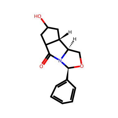 O=C1C2CC(O)C[C@@H]2[C@H]2CO[C@@H](c3ccccc3)N12